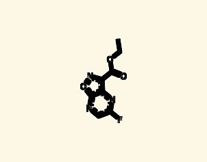 CCOC(=O)c1noc2ncc(F)nc12